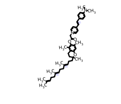 CC(C)=CCC/C(C)=C/CC/C(C)=C/CCC1(C)CCc2c(cc(C)c(OC(=O)C[n+]3ccc(/C=C/c4ccc(N(C)C)cc4)cc3)c2C)O1